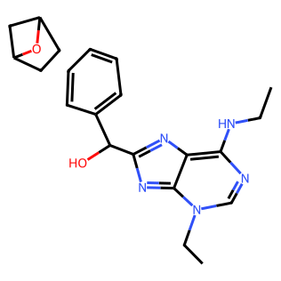 C1CC2CC1O2.CCNc1ncn(CC)c2nc(C(O)c3ccccc3)nc1-2